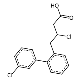 O=C(O)CC(Cl)Cc1ccccc1-c1cccc(Cl)c1